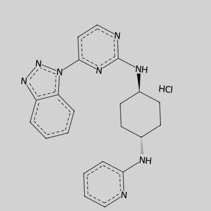 Cl.c1ccc(N[C@H]2CC[C@H](Nc3nccc(-n4nnc5ccccc54)n3)CC2)nc1